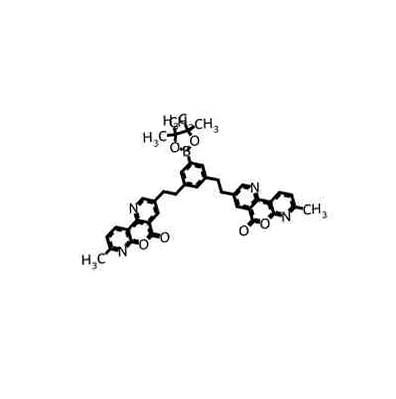 Cc1ccc2c(n1)oc(=O)c1cc(CCc3cc(CCc4cnc5c(c4)c(=O)oc4nc(C)ccc45)cc(B4OC(C)(C)C(C)(C)O4)c3)cnc12